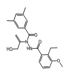 C=C(CO)N(NC(=O)c1cccc(OC)c1CC)C(=O)c1cc(C)cc(C)c1